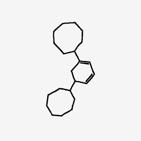 C1=C[C](C2CCCCCCC2)CC(C2CCCCCCC2)=C1